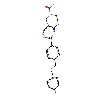 O=C(O)N1CCc2nc(-c3ccc(CCc4ccc(Cl)cc4)cc3)ncc2C1